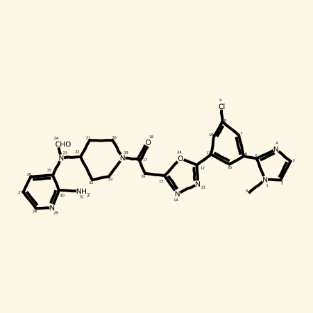 Cn1ccnc1-c1cc(Cl)cc(-c2nnc(CC(=O)N3CCC(N(C=O)c4cccnc4N)CC3)o2)c1